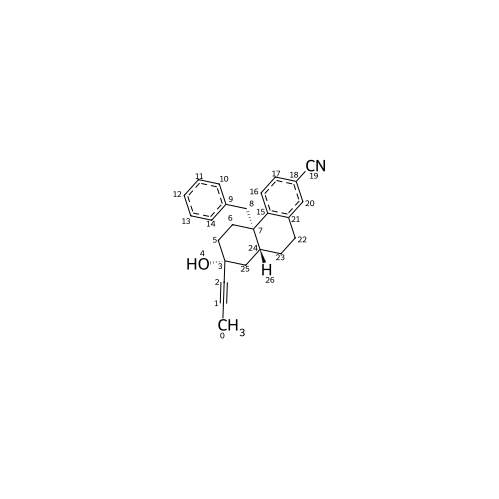 CC#C[C@@]1(O)CC[C@@]2(Cc3ccccc3)c3ccc(C#N)cc3CC[C@@H]2C1